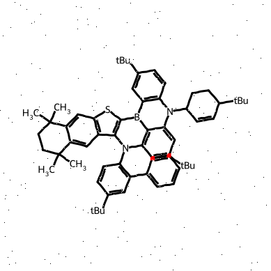 CC(C)(C)c1ccc2c(c1)B1c3sc4cc5c(cc4c3N(c3ccc(C(C)(C)C)cc3-c3ccccc3)c3cc(C(C)(C)C)cc(c31)N2C1C=CC(C(C)(C)C)CC1)C(C)(C)CCC5(C)C